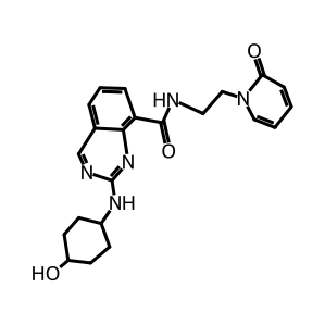 O=C(NCCn1ccccc1=O)c1cccc2cnc(NC3CCC(O)CC3)nc12